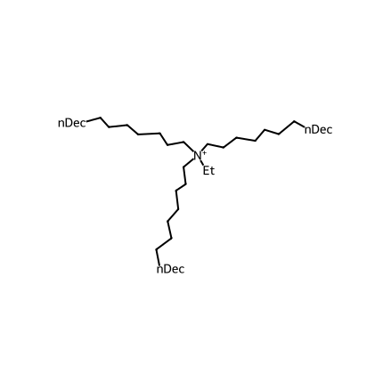 CCCCCCCCCCCCCCCCC[N+](CC)(CCCCCCCCCCCCCCCCC)CCCCCCCCCCCCCCCCC